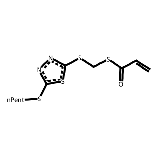 C=CC(=O)SCSc1nnc(SCCCCC)s1